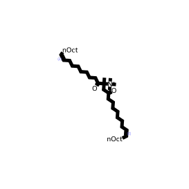 CCCCCCCC/C=C\CCCCCCCC(=O)CC(C)(C(=O)CCCCCCC/C=C\CCCCCCCC)[N+](C)(C)C